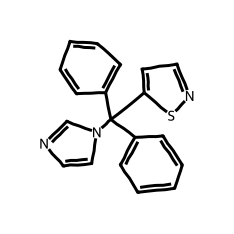 c1ccc(C(c2ccccc2)(c2ccns2)n2ccnc2)cc1